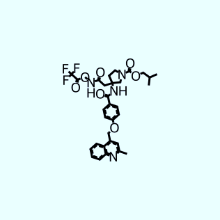 Cc1cc(COc2ccc(C(=O)NC3(CC(=O)NOC(=O)C(F)(F)F)CCN(C(=O)OCC(C)C)C3)cc2)c2ccccc2n1